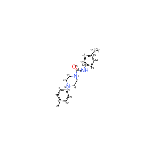 Cc1ccc(N2CCN(C(=O)Nc3ccc(C(C)C)cc3)CC2)cc1